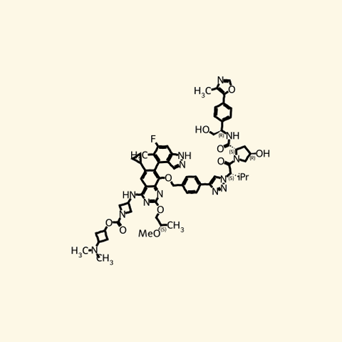 CO[C@@H](C)COc1nc(NC2CN(C(=O)OC3CC(N(C)C)C3)C2)c2cc(C3CC3)c(-c3c(C)c(F)cc4[nH]ncc34)c(OCc3ccc(-c4cn([C@H](C(=O)N5C[C@H](O)C[C@H]5C(=O)N[C@@H](CO)c5ccc(-c6ocnc6C)cc5)C(C)C)nn4)cc3)c2n1